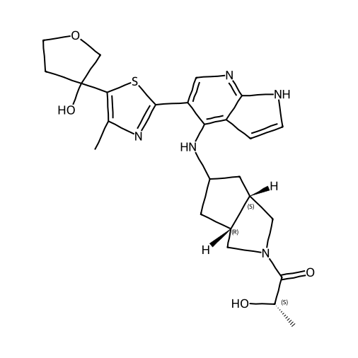 Cc1nc(-c2cnc3[nH]ccc3c2NC2C[C@@H]3CN(C(=O)[C@H](C)O)C[C@@H]3C2)sc1C1(O)CCOC1